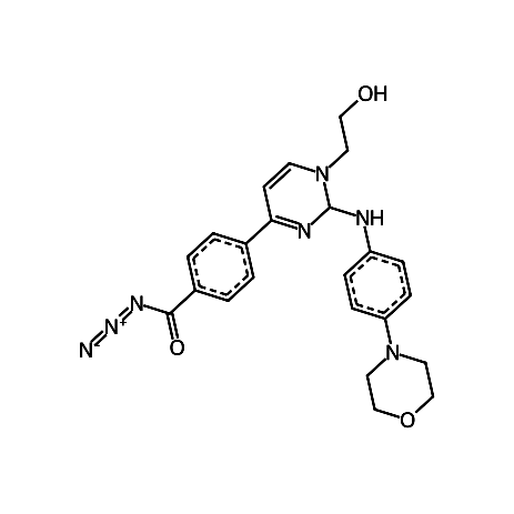 [N-]=[N+]=NC(=O)c1ccc(C2=NC(Nc3ccc(N4CCOCC4)cc3)N(CCO)C=C2)cc1